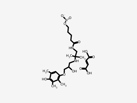 Cc1cc(OCC(O)CNC(C)(C)CNC(=O)CCCCO[N+](=O)[O-])c(C)c(C)c1O.O=C(O)C=CC(=O)O